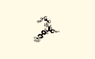 CC(C)N1CCc2c(sc(NC(=O)C3CC(N(C(=O)OC(C)(C)C)C(C)C)C3)c2-c2nc3ccc(C4=CCN(C(=O)OC(C)(C)C)CC4)cc3s2)C1